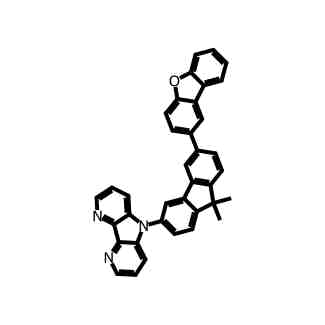 CC1(C)c2ccc(-c3ccc4oc5ccccc5c4c3)cc2-c2cc(-n3c4cccnc4c4ncccc43)ccc21